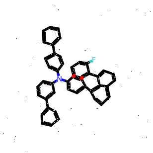 Fc1ccccc1-c1cccc2cccc(-c3ccc(N(c4ccc(-c5ccccc5)cc4)c4cccc(-c5ccccc5)c4)cc3)c12